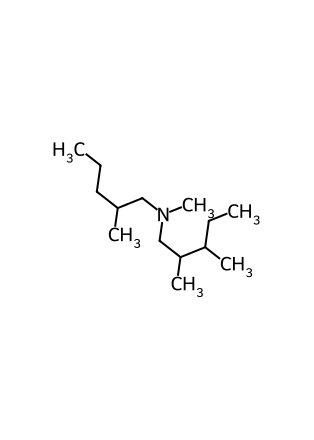 CCCC(C)CN(C)CC(C)C(C)CC